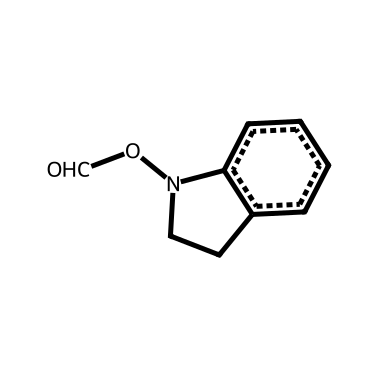 O=CON1CCc2ccccc21